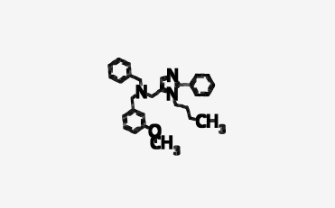 CCCCn1c(CN(Cc2ccccc2)Cc2cccc(OC)c2)cnc1-c1ccccc1